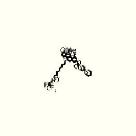 CO[C@H]1CC[C@H]2[C@@H]3[C@H](CCCCCCCCC[S+]([O-])CCCC(F)(F)C(F)(F)F)Cc4cc(OC(=O)N5CCC(N6CCCCC6)CC5)ccc4[C@H]3CC[C@]12C